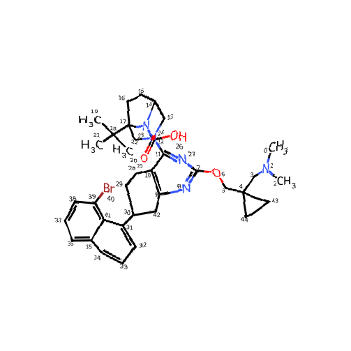 CN(C)CC1(COc2nc3c(c(N4CC5CCC(C(C)(C)C)(C4)N5C(=O)O)n2)CCC(c2cccc4cccc(Br)c24)C3)CC1